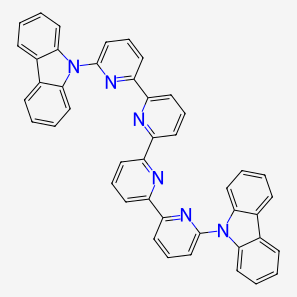 c1cc(-c2cccc(-c3cccc(-n4c5ccccc5c5ccccc54)n3)n2)nc(-c2cccc(-n3c4ccccc4c4ccccc43)n2)c1